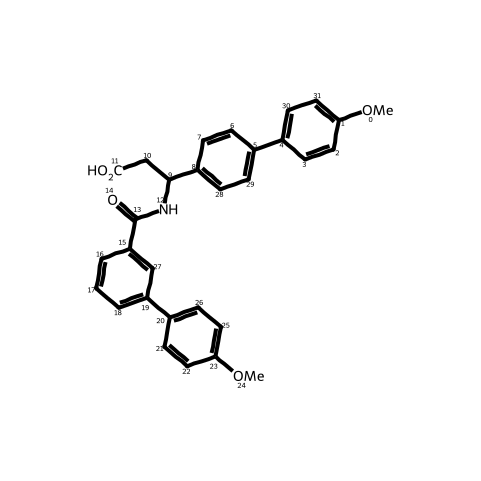 COc1ccc(-c2ccc(C(CC(=O)O)NC(=O)c3cccc(-c4ccc(OC)cc4)c3)cc2)cc1